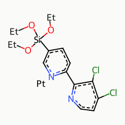 CCO[Si](OCC)(OCC)c1ccc(-c2nccc(Cl)c2Cl)nc1.[Pt]